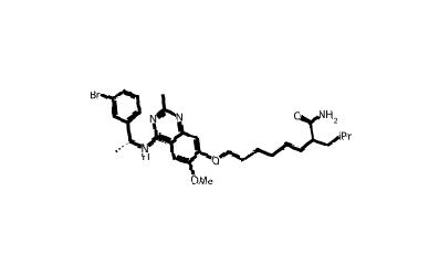 COc1cc2c(N[C@H](C)c3cccc(Br)c3)nc(C)nc2cc1OCCCCCCC(CC(C)C)C(N)=O